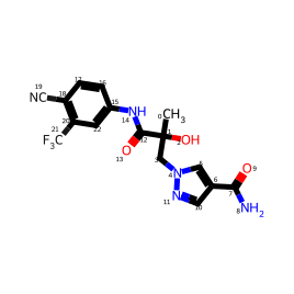 CC(O)(Cn1cc(C(N)=O)cn1)C(=O)Nc1ccc(C#N)c(C(F)(F)F)c1